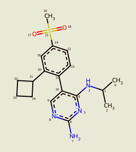 CC(C)Nc1nc(N)ncc1-c1ccc(S(C)(=O)=O)cc1C1CCC1